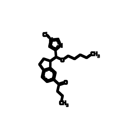 CCCCCOC(c1cn(Cl)cn1)C1CCc2ccc(C(=O)CCC)cc21